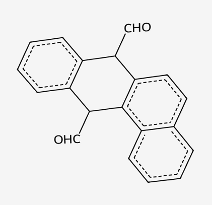 O=CC1c2ccccc2C(C=O)c2c1ccc1ccccc21